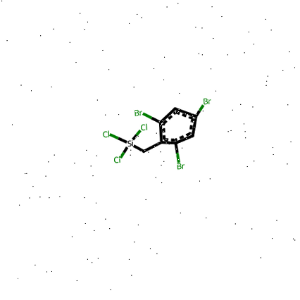 Cl[Si](Cl)(Cl)Cc1c(Br)cc(Br)cc1Br